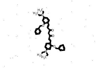 CCN(CC)c1ccc(C=CC(=O)CC(=O)C=Cc2ccc(N(CC)CC)cc2OCc2ccccc2)c(OCc2ccccc2)c1